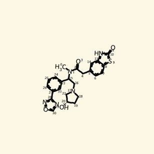 CN(C(=O)Cc1ccc2sc(=O)[nH]c2c1)C(CN1CC[C@H](O)C1)c1cccc(-c2ncon2)c1